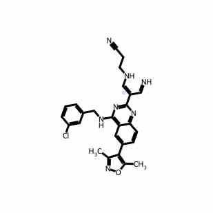 Cc1noc(C)c1-c1ccc2nc(/C(C=N)=C/NCCC#N)nc(NCc3cccc(Cl)c3)c2c1